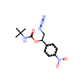 CC(C)(C)NC(=O)OC(CN=[N+]=[N-])c1ccc([N+](=O)[O-])cc1